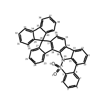 O=S1(=O)c2ccccc2-c2cccc3c4ccc5c(c4n1c23)-c1ccccc1C51c2ccccc2-c2ccccc21